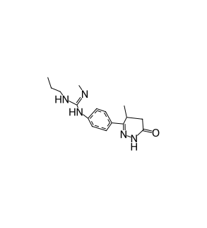 CCCNC(=NC)Nc1ccc(C2=NNC(=O)CC2C)cc1